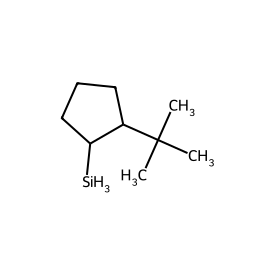 CC(C)(C)C1CCCC1[SiH3]